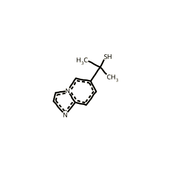 CC(C)(S)c1ccc2nccn2c1